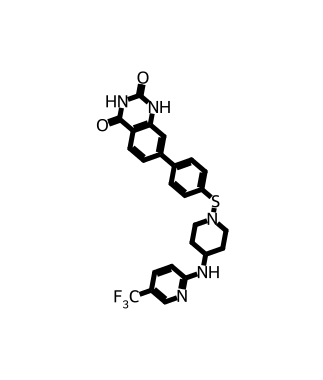 O=c1[nH]c(=O)c2ccc(-c3ccc(SN4CCC(Nc5ccc(C(F)(F)F)cn5)CC4)cc3)cc2[nH]1